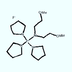 COCCN(CCOC)[P+](N1CCCC1)(N1CCCC1)N1CCCC1.[F-]